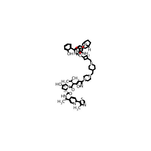 Cc1ncsc1-c1ccc([C@H](C)NC(=O)[C@@H]2C[C@@H](O)CN2C(=O)[C@H](c2cc(N3CCN(CC4CCN(CC5CC(Oc6cc(N7C8CC[C@@H]7CN(c7cc(-c9ccccc9O)nnc7N)C8)ccn6)C5)CC4)CC3)no2)C(C)C)cn1